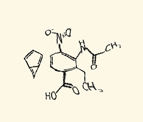 CCc1c(C(=O)O)ccc([N+](=O)[O-])c1NC(C)=O.c1cc2cc-2c1